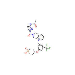 CC(=O)Nc1ccn(C(=O)N2CCC3(CCCN3Cc3cc(OC4CCS(=O)(=O)CC4)cc(C(F)(F)F)c3)CC2)n1